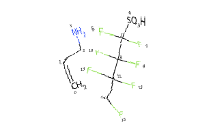 C=CCN.O=S(=O)(O)C(F)(F)C(F)(F)C(F)(F)CF